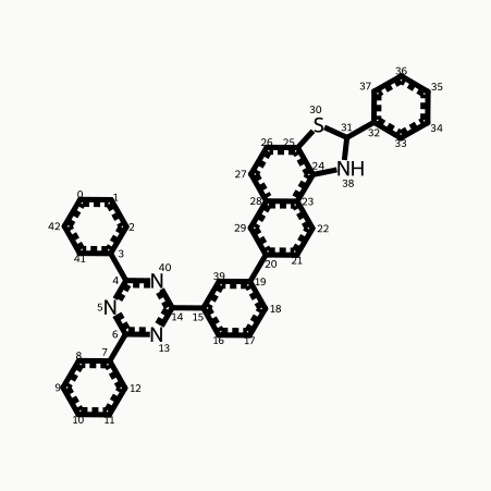 c1ccc(-c2nc(-c3ccccc3)nc(-c3cccc(-c4ccc5c6c(ccc5c4)SC(c4ccccc4)N6)c3)n2)cc1